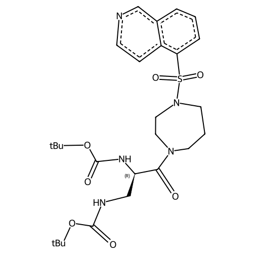 CC(C)(C)OC(=O)NC[C@@H](NC(=O)OC(C)(C)C)C(=O)N1CCCN(S(=O)(=O)c2cccc3cnccc23)CC1